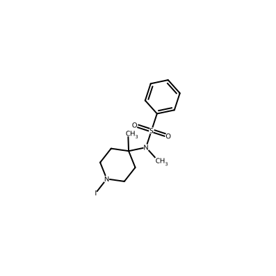 CN(C1(C)CCN(I)CC1)S(=O)(=O)c1ccccc1